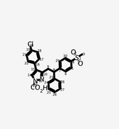 CS(=O)(=O)c1ccc(C(Cc2nn(C(=O)O)[c]c2-c2ccc(Cl)cc2)c2ccccc2)cc1